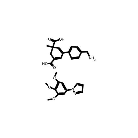 CC1(C(=O)O)C=C(c2ccc(CN)cc2)C=C(C(=O)O)C1.COc1cc(-n2cccn2)cc(OC)c1OC